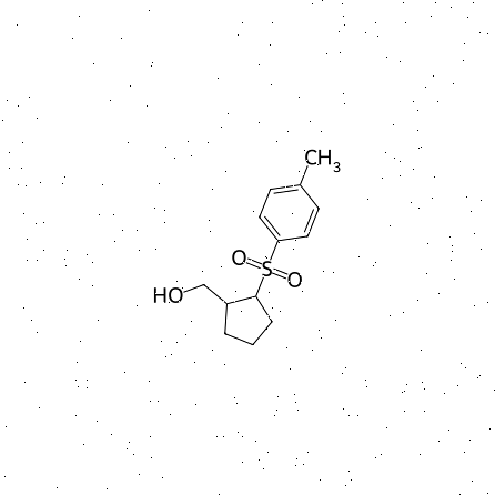 Cc1ccc(S(=O)(=O)C2CCCC2CO)cc1